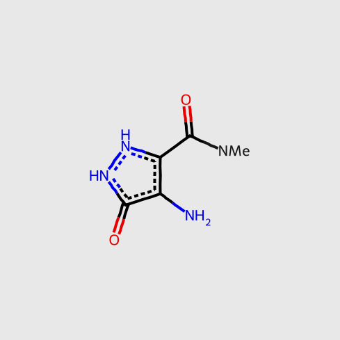 CNC(=O)c1[nH][nH]c(=O)c1N